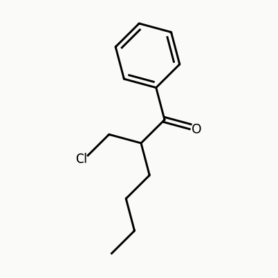 CCCCC(CCl)C(=O)c1ccccc1